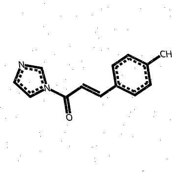 Cc1ccc(/C=C/C(=O)n2ccnc2)cc1